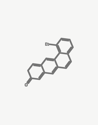 CCc1cccc2ccc3cc4c(cc3c12)=CCC(=O)C=4